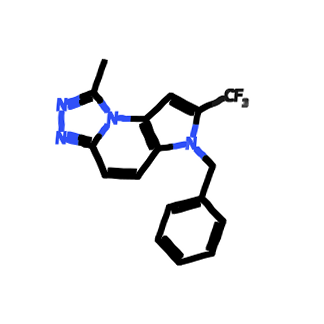 Cc1nnc2ccc3c(cc(C(F)(F)F)n3Cc3ccccc3)n12